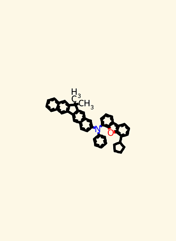 CC1(C)c2cc3ccccc3cc2-c2cc3ccc(N(c4ccccc4)c4cccc5c4oc4c(C6CCCC6)cccc45)cc3cc21